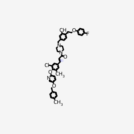 Cc1ccc(COc2ccc(Oc3c(C)cc(/C=C/C(=O)N4CCN(Cc5ccc(CCOc6ccc(F)cc6)c(C)c5)CC4)cc3Cl)nc2)cc1